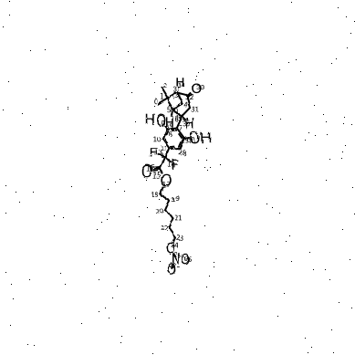 CC1(C)[C@@H]2C[C@@H]1[C@@H](c1c(O)cc(C(F)(F)C(=O)OCCCCCCO[N+](=O)[O-])cc1O)CC2=O